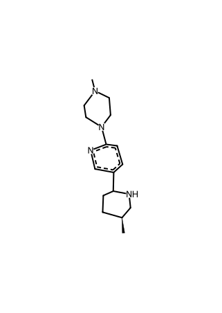 C[C@H]1CCC(c2ccc(N3CCN(C)CC3)nc2)NC1